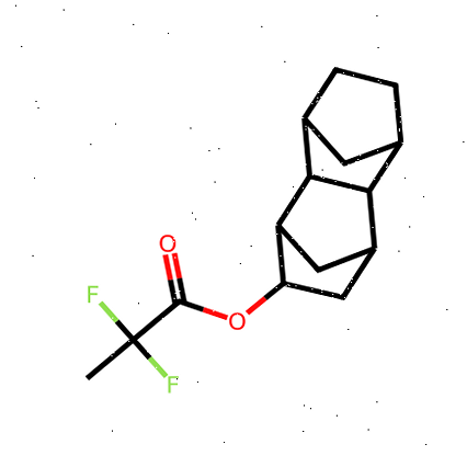 CC(F)(F)C(=O)OC1CC2CC1C1C3CCC(C3)C21